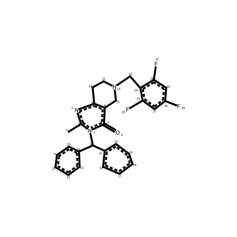 Cc1nc2c(c(=O)n1C(c1ccccc1)c1ccccc1)CN(Cc1c(F)cc(F)cc1F)CC2